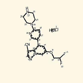 Cl.Cl.N#Cc1cnn2cc(OCC(F)F)cc(-c3ccc(N4CCNCC4)nc3)c12